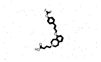 O=C(O)CCCN1CCc2cccc(OC/C=C/c3ccc(OC(F)F)cc3)c2CC1